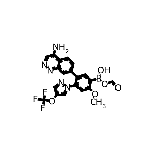 COc1cc(-n2cc(OC(F)(F)F)cn2)c(-c2ccc3c(N)cnnc3c2)cc1B(O)OC=O